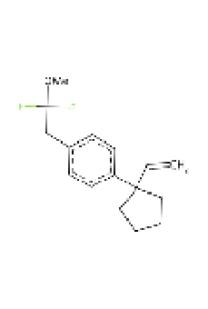 C=CC1(c2ccc(CC(F)(F)OC)cc2)CCCC1